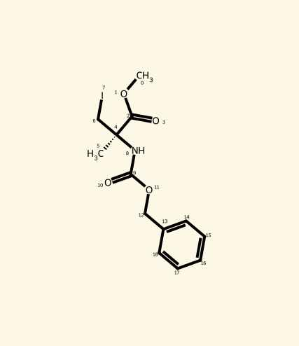 COC(=O)[C@](C)(CI)NC(=O)OCc1ccccc1